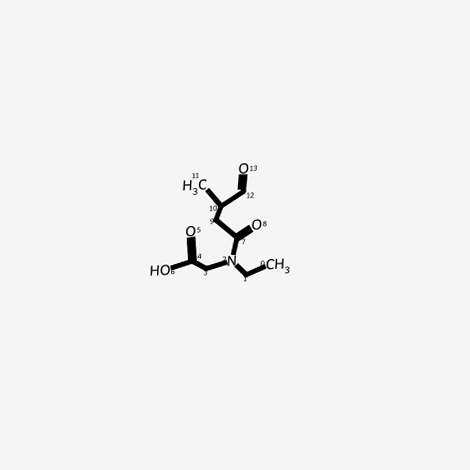 CCN(CC(=O)O)C(=O)CC(C)C=O